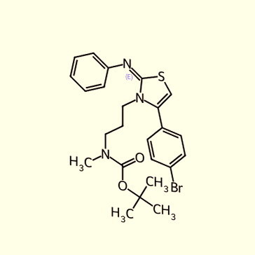 CN(CCCn1c(-c2ccc(Br)cc2)cs/c1=N/c1ccccc1)C(=O)OC(C)(C)C